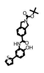 CC(C)(C)OC(=O)N1Cc2ccc(C(=O)Nc3cc(-c4cccs4)ccc3O)cc2C1